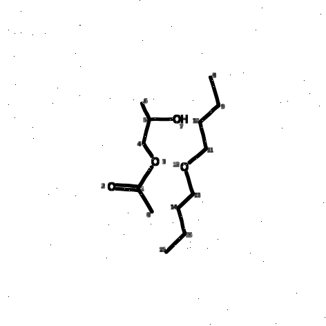 CC(=O)OCC(C)O.CCCCOCCCC